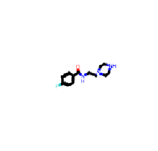 O=C(NCCN1CCNCC1)c1ccc(F)cc1